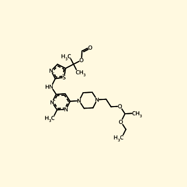 CCOC(C)OCCN1CCN(c2cc(Nc3ncc(C(C)(C)OC=O)s3)nc(C)n2)CC1